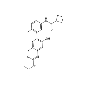 Cc1ccc(NC(=O)C2CCC2)cc1-c1cc2cnc(NC(C)C)nc2cc1O